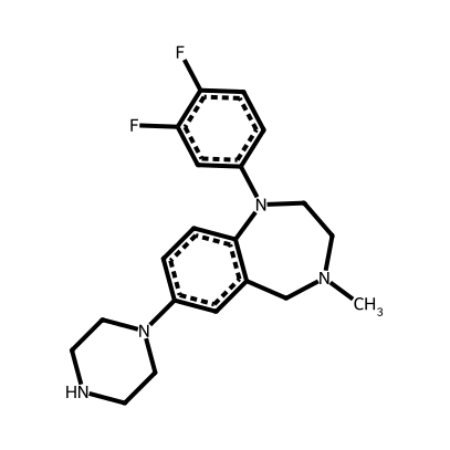 CN1CCN(c2ccc(F)c(F)c2)c2ccc(N3CCNCC3)cc2C1